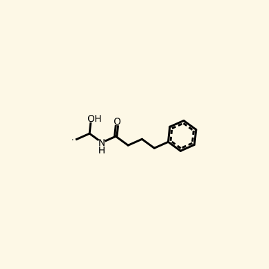 [CH2]C(O)NC(=O)CCCc1ccccc1